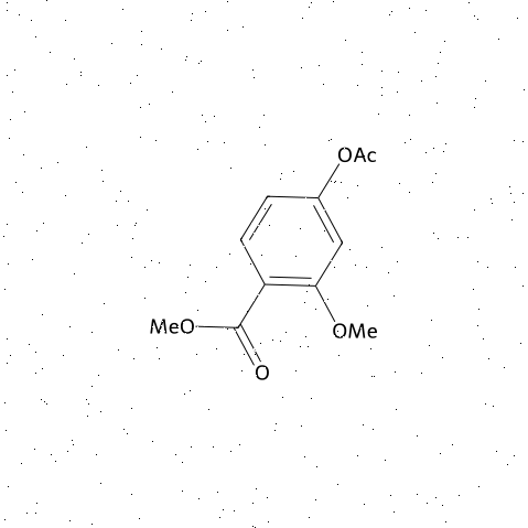 COC(=O)c1ccc(OC(C)=O)cc1OC